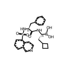 O=C(N[C@@H](CC1CCC1)B(O)O)[C@H](Cc1ccccc1)NS(=O)(=O)c1cccc2cnccc12